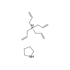 C1CCNC1.C=CC[PH](CC=C)(CC=C)CC=C